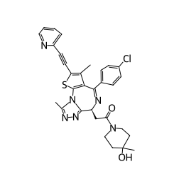 Cc1c(C#Cc2ccccn2)sc2c1C(c1ccc(Cl)cc1)=N[C@@H](CC(=O)N1CCC(C)(O)CC1)c1nnc(C)n1-2